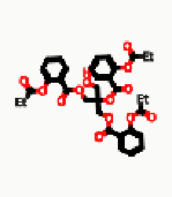 CCC(=O)Oc1ccccc1C(=O)OCC(CO)(COC(=O)c1ccccc1OC(=O)CC)OC(=O)c1ccccc1OC(=O)CC